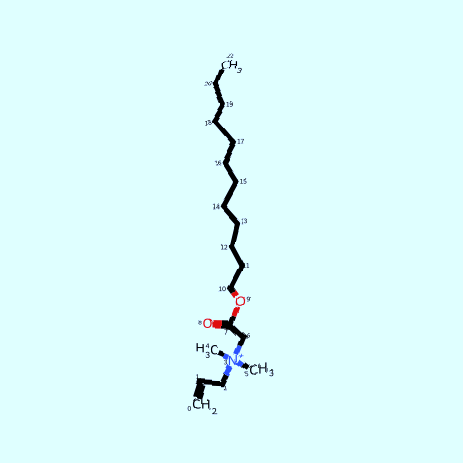 C=CC[N+](C)(C)CC(=O)OCCCCCCCCCCCC